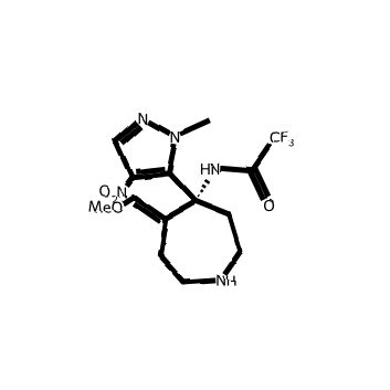 COC=C1CCNCC[C@]1(NC(=O)C(F)(F)F)c1c([N+](=O)[O-])cnn1C